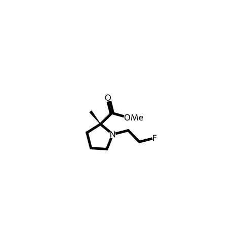 COC(=O)[C@@]1(C)CCCN1CCF